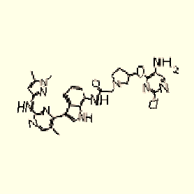 Cc1cnc(Nc2cc(C)n(C)n2)nc1-c1c[nH]c2c(NC(=O)CN3CCC(Oc4nc(Cl)ncc4N)C3)cccc12